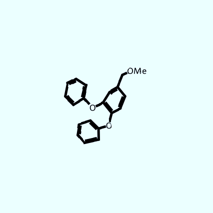 [CH2]OCc1ccc(Oc2ccccc2)c(Oc2ccccc2)c1